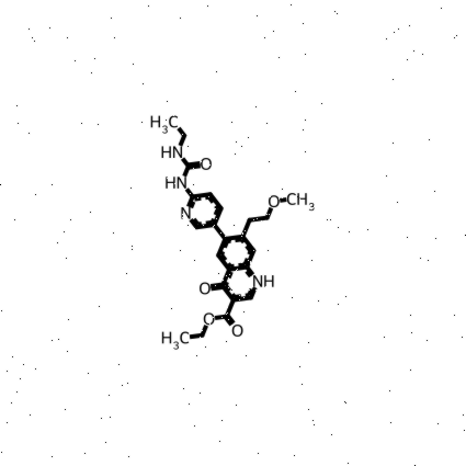 CCNC(=O)Nc1ccc(-c2cc3c(=O)c(C(=O)OCC)c[nH]c3cc2CCOC)cn1